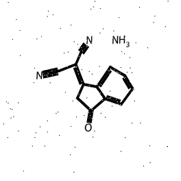 N.N#CC(C#N)=C1CC(=O)c2ccccc21